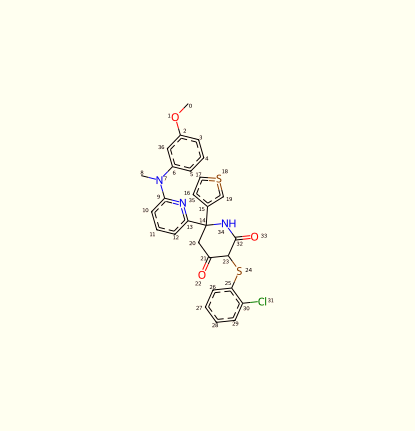 COc1cccc(N(C)c2cccc(C3(c4ccsc4)CC(=O)C(Sc4ccccc4Cl)C(=O)N3)n2)c1